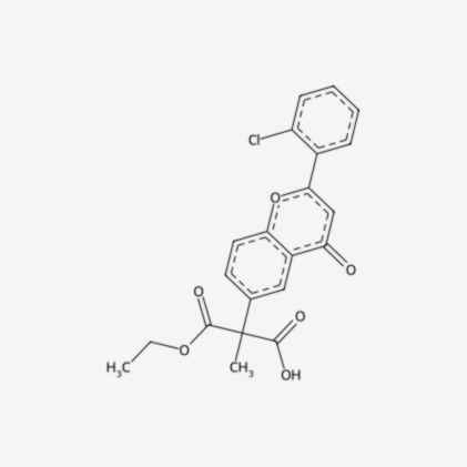 CCOC(=O)C(C)(C(=O)O)c1ccc2oc(-c3ccccc3Cl)cc(=O)c2c1